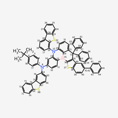 CC(C)(C)c1ccc(N(c2ccc3c(c2)N(c2cccc4c2sc2ccccc24)c2cccc4c2B3c2sc3ccc(-c5ccccc5)cc3c2C4(c2ccccc2)c2ccccc2)c2ccc3sc4ccccc4c3c2)cc1